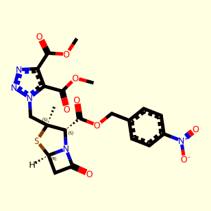 COC(=O)c1nnn(C[C@]2(C)S[C@@H]3CC(=O)N3[C@H]2C(=O)OCc2ccc([N+](=O)[O-])cc2)c1C(=O)OC